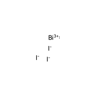 [Bi+3].[I-].[I-].[I-]